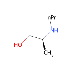 CCCN[C@@H](C)CO